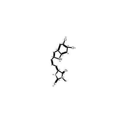 CN1C(=O)C(=C/C=C\c2cc3cc(Cl)c(Cl)cc3[nH]2)SC1=S